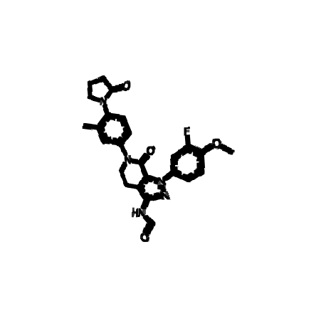 COc1ccc(-n2nc(NC=O)c3c2C(=O)N(c2ccc(N4CCCC4=O)c(C)c2)CC3)cc1F